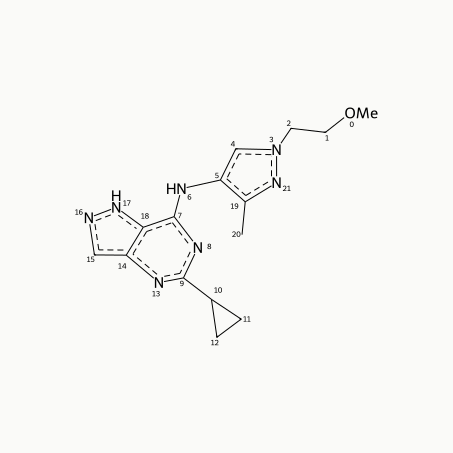 COCCn1cc(Nc2nc(C3CC3)nc3cn[nH]c23)c(C)n1